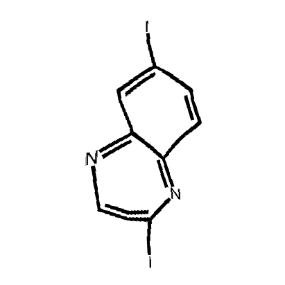 Ic1ccc2nc(I)cnc2c1